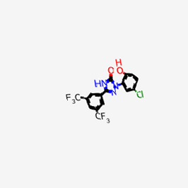 O=c1[nH]c(-c2cc(C(F)(F)F)cc(C(F)(F)F)c2)nn1-c1cc(Cl)ccc1O